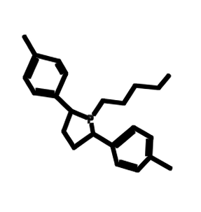 CCCCCP1C(c2ccc(C)cc2)CCC1c1ccc(C)cc1